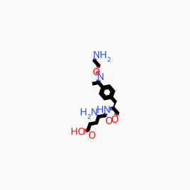 C/C(=N\OCCN)c1ccc(C[C@@H](C=O)NC(=O)[C@H](N)CCC(=O)O)cc1